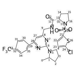 CC1CCCN1c1nc(CNC(=O)[C@@H]2CCCN2S(=O)(=O)c2ccc(Cl)s2)cc(-c2ccc(C(F)(F)F)cc2)n1